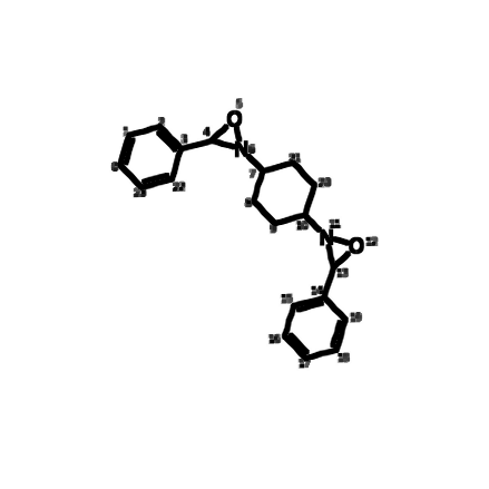 c1ccc(C2ON2C2CCC(N3OC3c3ccccc3)CC2)cc1